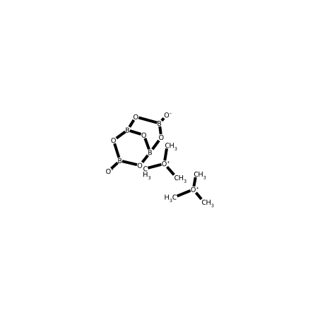 C[O+](C)C.C[O+](C)C.[O-]B1OB2OB([O-])OB(O1)O2